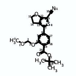 COCOc1cc(-c2sc(C#N)c3c2CCO3)ccc1C(=O)OC(C)(C)C